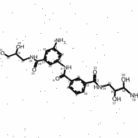 Nc1cc(NC(=O)c2cccc(C(=O)NCC(O)C(N)O)c2)cc(C(=O)NCC(O)CO)c1